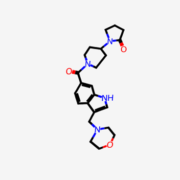 O=C(c1ccc2c(CN3CCOCC3)c[nH]c2c1)N1CCC(N2CCCC2=O)CC1